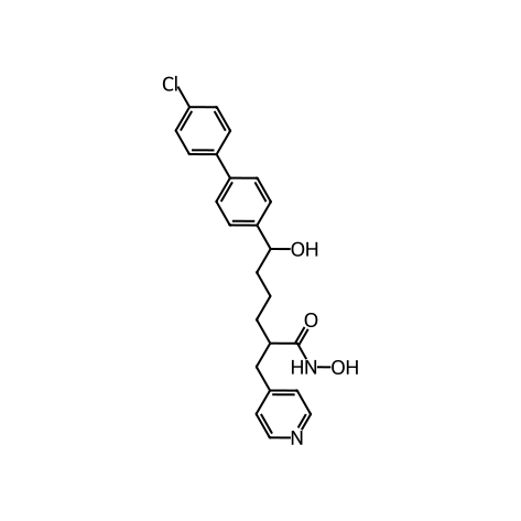 O=C(NO)C(CCCC(O)c1ccc(-c2ccc(Cl)cc2)cc1)Cc1ccncc1